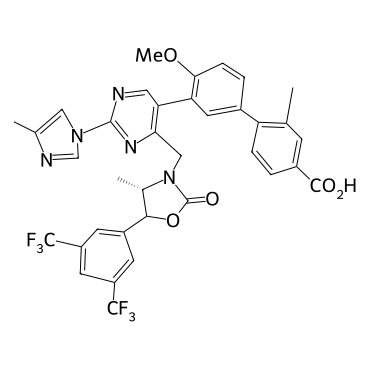 COc1ccc(-c2ccc(C(=O)O)cc2C)cc1-c1cnc(-n2cnc(C)c2)nc1CN1C(=O)OC(c2cc(C(F)(F)F)cc(C(F)(F)F)c2)[C@@H]1C